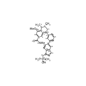 CNC(=O)c1ccc(C(C)[C@H](C)CNc2cc(-c3cnc4c(cnn4CC(C)(C)O)c3)ncn2)c(OC)c1